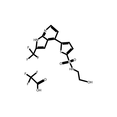 O=C(O)C(F)(F)F.O=S(=O)(NCCO)c1ccc(-c2ccnc3[nH]c(C(F)(F)F)cc23)s1